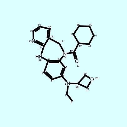 CCN(c1ccc2c(c1)N(C(=O)C1CCCCC1)Cc1cccnc1N2)C1COC1